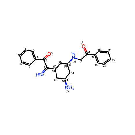 N=C(C(=O)c1ccccc1)[C@@H]1C[C@H](N)C[C@H](NCC(=O)c2ccccc2)C1